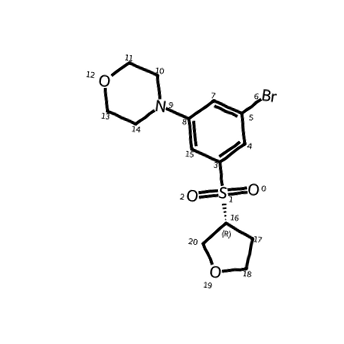 O=S(=O)(c1cc(Br)cc(N2CCOCC2)c1)[C@@H]1CCOC1